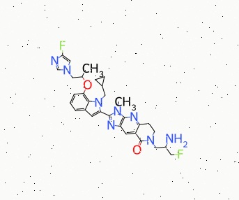 CC(Cn1cnc(F)c1)Oc1cccc2cc(-c3nc4cc5c(nc4n3C)CCN(CC(N)CF)C5=O)n(CC3CC3)c12